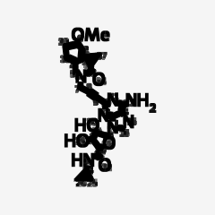 COc1ccc(CN(CC#Cc2nc(N)c3ncn([C@@H]4O[C@H](C(=O)NC5CC5)C(O)[C@H]4O)c3n2)C(=O)C2CC2)cc1